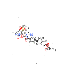 CC[C@@](CCn1cnc2cc(-c3ccc(CCOC(C)=O)cc3)c(F)cc2c1=O)(C(=O)NO)S(C)(=O)=O